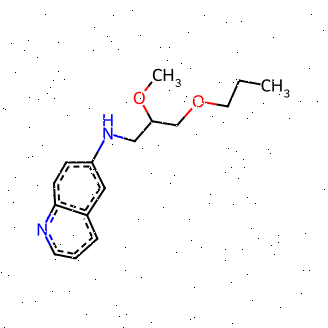 CCCOCC(CNc1ccc2ncccc2c1)OC